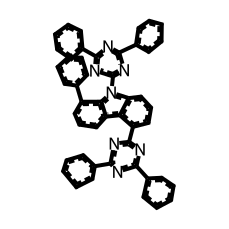 c1ccc(-c2nc(-c3ccccc3)nc(-c3cccc4c3c3cccc(-c5ccccc5)c3n4-c3nc(-c4ccccc4)nc(-c4ccccc4)n3)n2)cc1